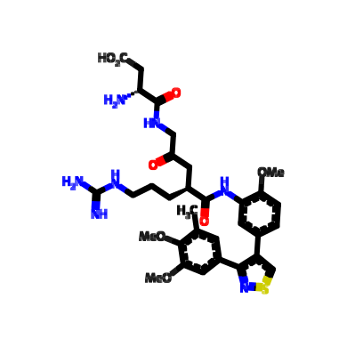 COc1ccc(-c2csnc2-c2cc(C)c(OC)c(OC)c2)cc1NC(=O)[C@@H](CCCNC(=N)N)CC(=O)CNC(=O)[C@H](N)CC(=O)O